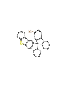 Brc1ccc2c(c1)C(c1ccccc1)(c1ccc3sc4ccccc4c3c1)c1ccccc1-2